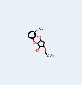 COCOC1CC2Oc3c(OC)cccc3OC2C1O